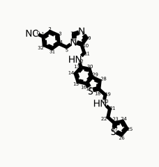 N#Cc1ccc(Cn2cncc2CNc2ccc3sc(CNCCc4cccs4)cc3c2)cc1